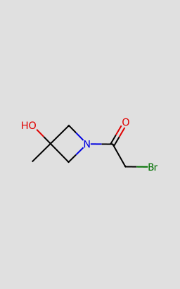 CC1(O)CN(C(=O)CBr)C1